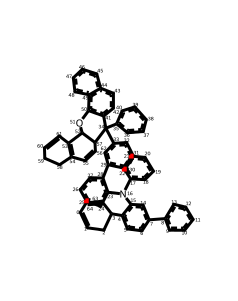 C1=CCC(c2ccc(-c3ccccc3)cc2N(c2ccccc2)c2ccccc2-c2cccc(C3(c4ccccc4)c4ccc5ccccc5c4OC4C5=C(C=CC43)CCC=C5)c2)C=C1